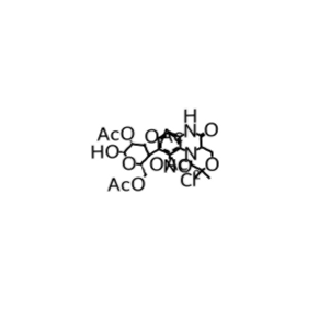 CC(=O)OC[C@H]1O[C@@H](O)[C@H](OC(C)=O)[C@@H](OC(C)=O)[C@]1(OC(C)=O)c1ccc2c(c1[N+](=O)[O-])N1CC(C)(Cl)OCC1C(=O)N2